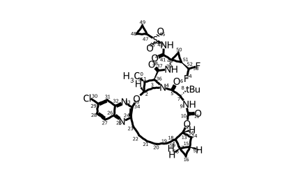 C[C@@H]1[C@@H]2CN(C(=O)[C@H](C(C)(C)C)NC(=O)O[C@@H]3C[C@@H]4C[C@@H]4[C@H]3CCCCCc3nc4ccc(Cl)cc4nc3O2)[C@@H]1C(=O)N[C@]1(C(=O)NS(=O)(=O)C2CC2)C[C@H]1C(F)F